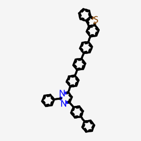 c1ccc(-c2ccc(-c3cc(-c4ccc(-c5ccc(-c6ccc(-c7ccc8sc9ccccc9c8c7)cc6)cc5)cc4)nc(-c4ccccc4)n3)cc2)cc1